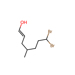 CC(CC=CO)CCC(Br)Br